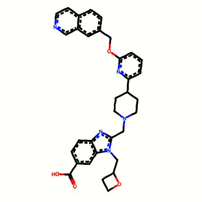 O=C(O)c1ccc2nc(CN3CCC(c4cccc(OCc5ccc6ccncc6c5)n4)CC3)n(CC3CCO3)c2c1